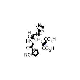 CC(C)(CNc1nncs1)NCC(=O)N1CCC[C@H]1C#N.O=C(O)/C=C/C(=O)O